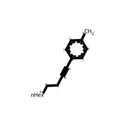 [CH2]c1ccc(C#CCCCCCCCC)cc1